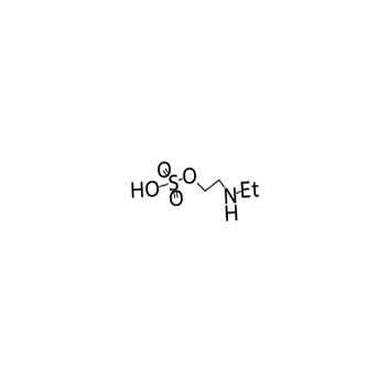 CCNCCOS(=O)(=O)O